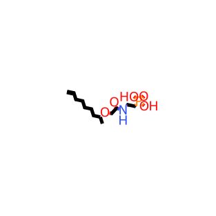 C=CCCCCCC(C)OCC(=O)NCCP(=O)(O)O